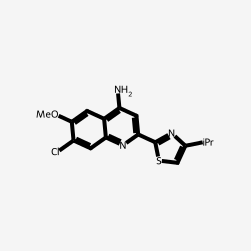 COc1cc2c(N)cc(-c3nc(C(C)C)cs3)nc2cc1Cl